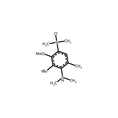 COc1c([Si](C)(C)Cl)cc(C)c([SiH](C)C)c1C(C)(C)C